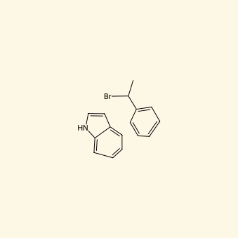 CC(Br)c1ccccc1.c1ccc2[nH]ccc2c1